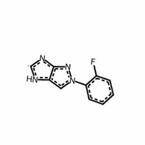 Fc1ccccc1-n1cc2[nH][c]nc2n1